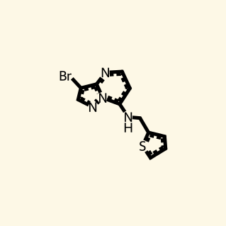 Brc1cnn2c(NCc3cccs3)ccnc12